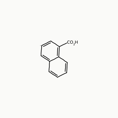 O=C(O)c1c[c]cc2ccccc12